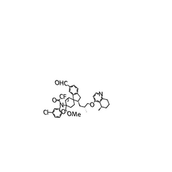 COC(=O)C1(N(C(=O)C(F)(F)F)c2cccc(Cl)c2)CCC2(CC1)c1cc(C=O)ccc1C[C@H]2C[C@@H](C)COc1ccnc2c1[C@H](C)CCC2